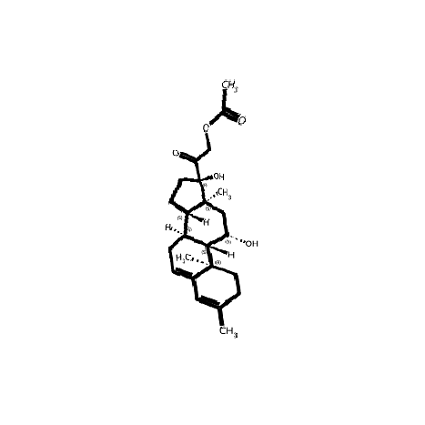 CC(=O)OCC(=O)[C@@]1(O)CC[C@H]2[C@@H]3CC=C4C=C(C)CC[C@]4(C)[C@H]3[C@@H](O)C[C@@]21C